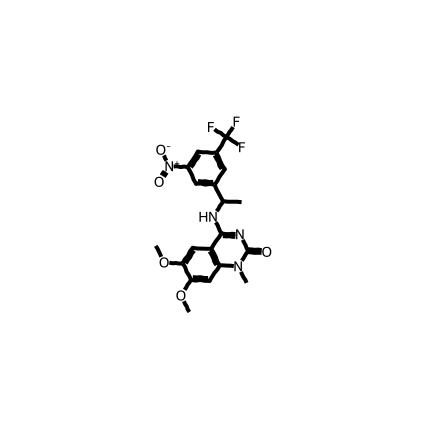 COc1cc2c(NC(C)c3cc([N+](=O)[O-])cc(C(F)(F)F)c3)nc(=O)n(C)c2cc1OC